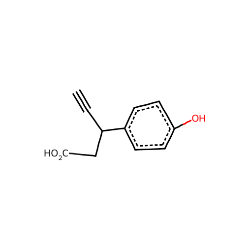 C#CC(CC(=O)O)c1ccc(O)cc1